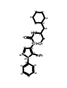 CCCc1c(OC(=O)NC(CO)CC2CCCCC2)cnn1-c1ccccc1